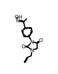 C=CCN1CC(=O)N(c2ccc(C(C)=NO)cc2)C1=O